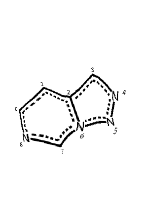 c1cc2cnnn2cn1